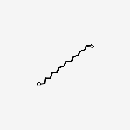 [O]CCCCCCCCCCCCCC=S